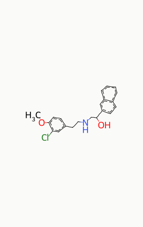 COc1ccc(CCNCC(O)c2ccc3ccccc3c2)cc1Cl